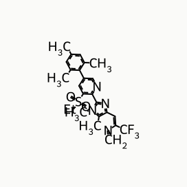 C=N/C(=C\c1nc(-c2ncc(-c3c(C)cc(C)cc3C)cc2S(=O)(=O)CC)n(C)c1C)C(F)(F)F